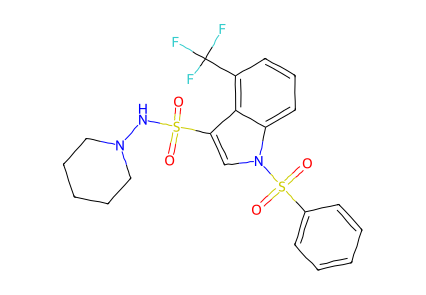 O=S(=O)(NN1CCCCC1)c1cn(S(=O)(=O)c2ccccc2)c2cccc(C(F)(F)F)c12